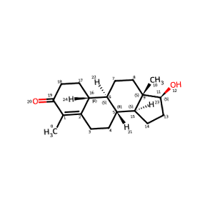 CC1=C2CC[C@@H]3[C@H](CC[C@]4(C)[C@@H](O)CC[C@@H]34)[C@H]2CCC1=O